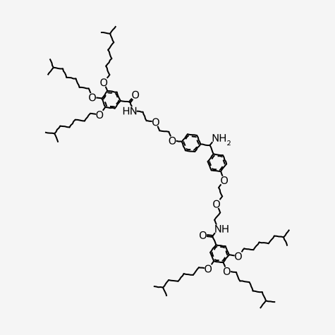 CC(C)CCCCCOc1cc(C(=O)NCCOCCOc2ccc(C(N)c3ccc(OCCOCCNC(=O)c4cc(OCCCCCC(C)C)c(OCCCCCC(C)C)c(OCCCCCC(C)C)c4)cc3)cc2)cc(OCCCCCC(C)C)c1OCCCCCC(C)C